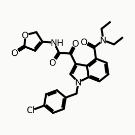 CCN(CC)C(=O)c1cccc2c1c(C(=O)C(=O)NC1=CC(=O)OC1)cn2Cc1ccc(Cl)cc1